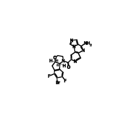 Nc1nc2cnc(C(=O)N3CCO[C@@H]4Cc5c(cc(F)c(Br)c5F)[C@@H]43)cc2n2cncc12